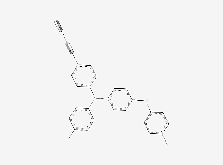 C#CC#Cc1ccc(N(c2ccc(C)cc2)c2ccc(Nc3ccc(C)cc3)cc2)cc1